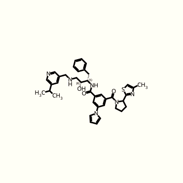 Cc1csc(C2CCCN2C(=O)c2cc(C(=O)N[C@@H](Cc3ccccc3)[C@H](O)CNCc3cncc(C(C)C)c3)cc(-n3cccc3)c2)n1